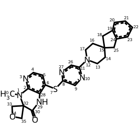 CN1c2nccc(Sc3cnc(N4CCC5(CC4)Cc4ccccc4C5)cn3)c2NC(=O)C12COC2